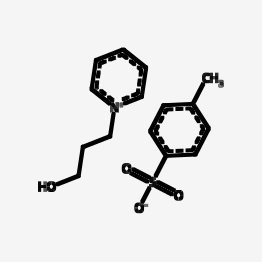 Cc1ccc(S(=O)(=O)[O-])cc1.OCCC[n+]1ccccc1